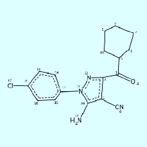 N#Cc1c(C(=O)C2CCCCC2)nn(-c2ccc(Cl)cc2)c1N